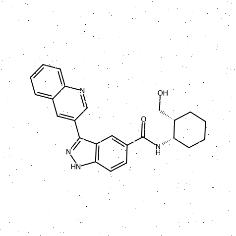 O=C(N[C@H]1CCCC[C@H]1CO)c1ccc2[nH]nc(-c3cnc4ccccc4c3)c2c1